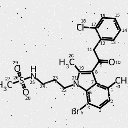 Cc1ccc(Br)c2c1c(C(=O)Cc1ccccc1Cl)c(C)n2CCCNS(C)(=O)=O